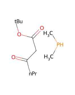 CCCC(=O)CC(=O)OC(C)(C)C.CPC